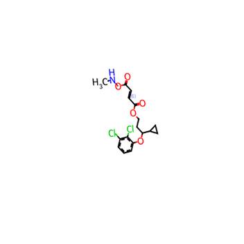 CNOC(=O)/C=C/C(=O)OCCC(Oc1cccc(Cl)c1Cl)C1CC1